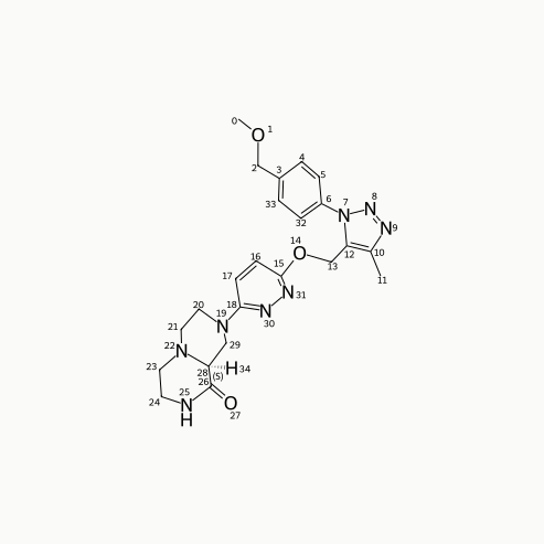 COCc1ccc(-n2nnc(C)c2COc2ccc(N3CCN4CCNC(=O)[C@@H]4C3)nn2)cc1